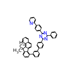 CC1(C)c2cccc(-c3cccc(-c4ccc(-c5nc(-c6ccccc6)nc(-c6ccc(-c7ccccn7)cc6)n5)cc4)c3)c2-c2ccc3ccccc3c21